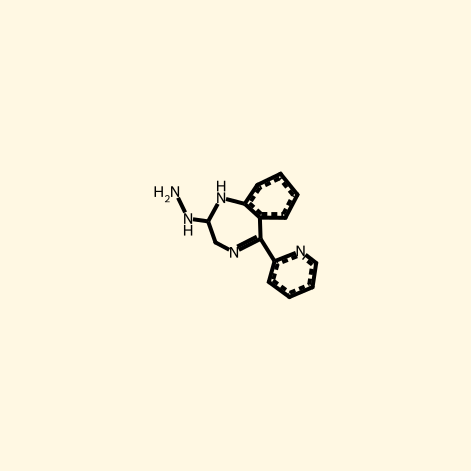 NNC1CN=C(c2ccccn2)c2ccccc2N1